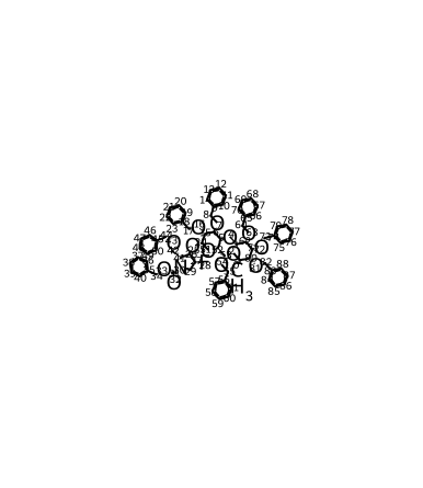 C[C@H]1O[C@@H](O[C@H]2[C@H](OCc3ccccc3)[C@@H](OCc3ccccc3)[C@@H](O[C@H]3[C@@H](F)CN(C(=O)OCc4ccccc4)[C@H]3COCc3ccccc3)O[C@@H]2COCc2ccccc2)[C@H](OCc2ccccc2)[C@@H](OCc2ccccc2)[C@@H]1OCc1ccccc1